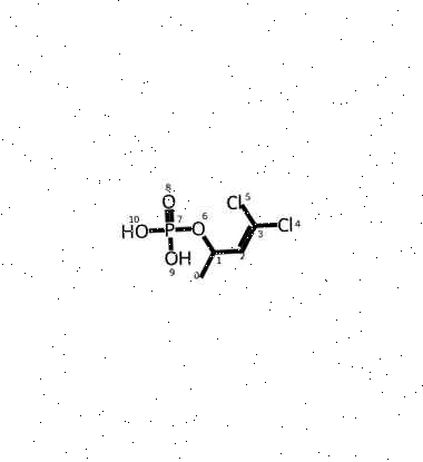 CC(C=C(Cl)Cl)OP(=O)(O)O